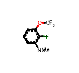 CNc1cccc(OC(F)(F)F)c1F